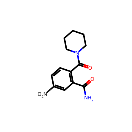 NC(=O)c1cc([N+](=O)[O-])ccc1C(=O)N1CCCCC1